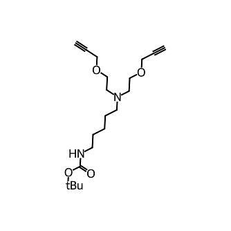 C#CCOCCN(CCCCCNC(=O)OC(C)(C)C)CCOCC#C